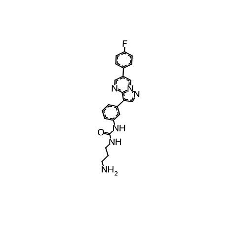 NCCCNC(=O)Nc1cccc(-c2cnn3cc(-c4ccc(F)cc4)cnc23)c1